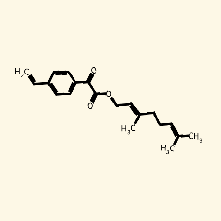 C=Cc1ccc(C(=O)C(=O)OC/C=C(\C)CCC=C(C)C)cc1